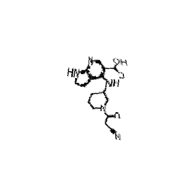 N#CCC(=O)N1CCCC(Nc2c(C(=O)O)cnc3[nH]ccc23)C1